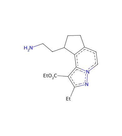 CCOC(=O)c1c(CC)nn2ccc3c(c12)C(CCN)CC3